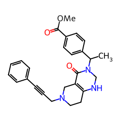 COC(=O)c1ccc(C(C)N2CNC3=C(CN(CC#Cc4ccccc4)CC3)C2=O)cc1